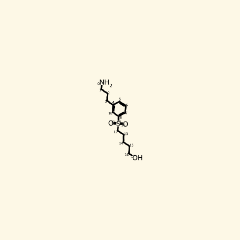 NCCCc1cccc(S(=O)(=O)CCCCCO)c1